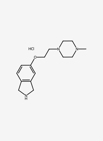 CN1CCN(CCOc2ccc3c(c2)CNC3)CC1.Cl